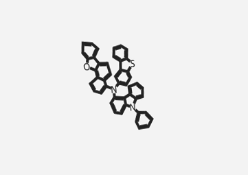 c1ccc(-n2c3ccccc3c3c(N(c4ccc5sc6ccccc6c5c4)c4cccc5c4ccc4c6ccccc6oc54)cccc32)cc1